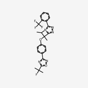 CC1n2c(-c3ccccc3C(F)(F)F)nnc2C1(C)Oc1ccc(-c2noc(C(C)(C)F)n2)cc1